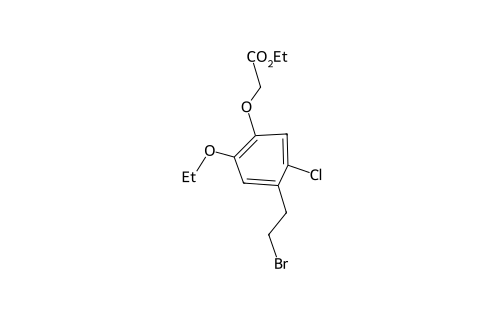 CCOC(=O)COc1cc(Cl)c(CCBr)cc1OCC